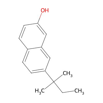 CCC(C)(C)c1ccc2ccc(O)cc2c1